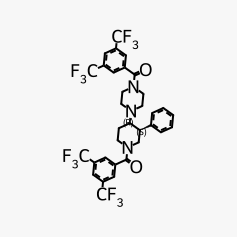 O=C(c1cc(C(F)(F)F)cc(C(F)(F)F)c1)N1CCN([C@@H]2CCN(C(=O)c3cc(C(F)(F)F)cc(C(F)(F)F)c3)C[C@@H]2c2ccccc2)CC1